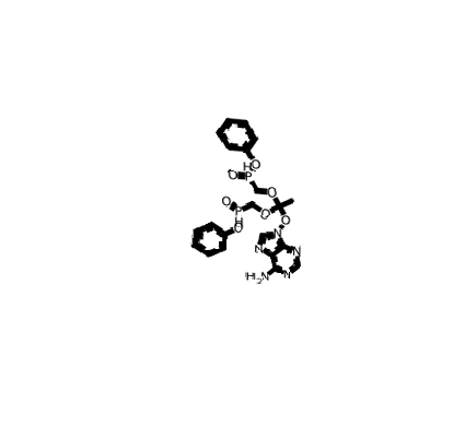 CC(OC[PH](=O)Oc1ccccc1)(OC[PH](=O)Oc1ccccc1)On1cnc2c(N)ncnc21